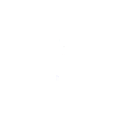 O=S(=O)(OC1C=CNCC1)C(F)(F)F